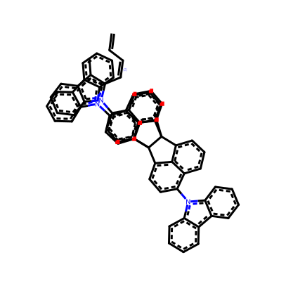 C=C/C=C\c1c(C)c2ccccc2n1-c1ccc2c3c(cccc13)C13c4cccc5c(-n6c7ccccc7c7ccccc76)ccc(c45)C21c1ccc(-n2c4ccccc4c4ccccc42)c2cccc3c12